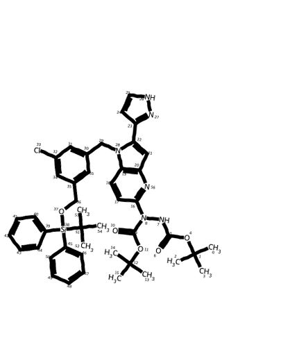 CC(C)(C)OC(=O)NN(C(=O)OC(C)(C)C)c1ccc2c(cc(-c3cc[nH]n3)n2Cc2cc(Cl)cc(CO[Si](c3ccccc3)(c3ccccc3)C(C)(C)C)c2)n1